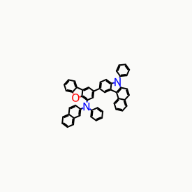 c1ccc(N(c2ccc3ccccc3c2)c2cc(-c3ccc4c(c3)c3c5ccccc5ccc3n4-c3ccccc3)cc3c2oc2ccccc23)cc1